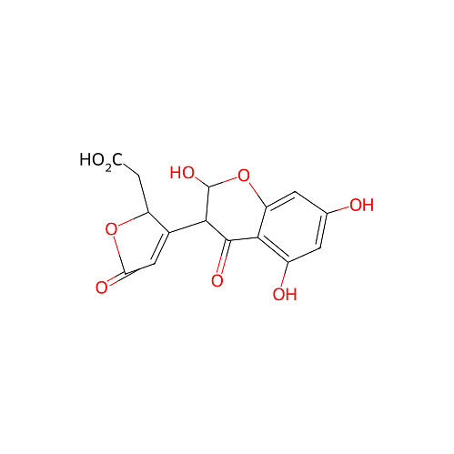 O=C(O)CC1OC(=O)C=C1C1C(=O)c2c(O)cc(O)cc2OC1O